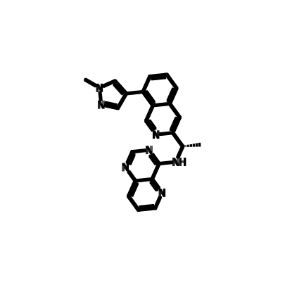 C[C@H](Nc1ncnc2cccnc12)c1cc2cccc(-c3cnn(C)c3)c2cn1